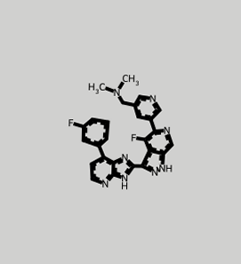 CN(C)Cc1cncc(-c2ncc3[nH]nc(-c4nc5c(-c6cccc(F)c6)ccnc5[nH]4)c3c2F)c1